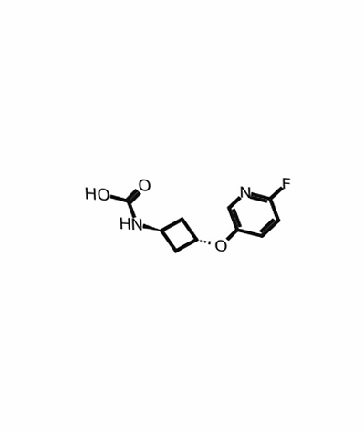 O=C(O)N[C@H]1C[C@H](Oc2ccc(F)nc2)C1